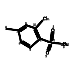 CCCCS(=O)(=O)c1ccc(C)cc1Cl